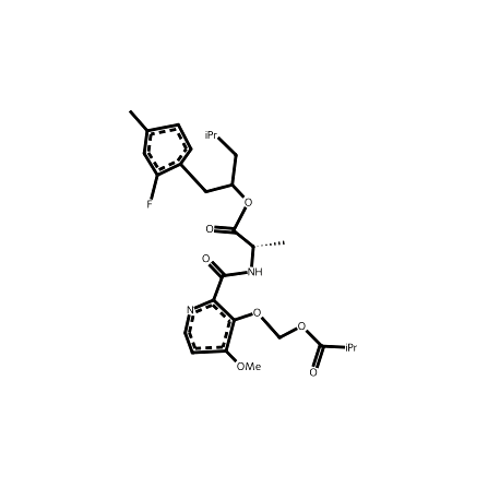 COc1ccnc(C(=O)N[C@@H](C)C(=O)OC(Cc2ccc(C)cc2F)CC(C)C)c1OCOC(=O)C(C)C